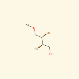 [2H]OC[C@@H](S)[C@H](S)CO